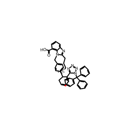 CCCCc1nc2cccc(C(=O)O)c2n1Cc1ccc(C2CC=CC=C2c2nnnn2C(c2ccccc2)(c2ccccc2)c2ccccc2)cc1